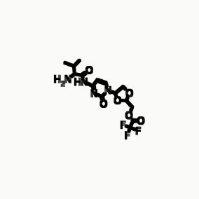 CC(C)C(N)C(=O)Nc1ccn(C2COC(COC(=O)C(F)(F)F)O2)c(=O)n1